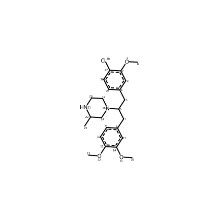 COc1cc(CC(Cc2ccc(OC)c(OC)c2)N2CCNC(C)C2)ccc1Cl